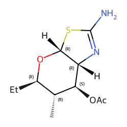 CC[C@H]1O[C@@H]2SC(N)=N[C@@H]2[C@@H](OC(C)=O)[C@@H]1C